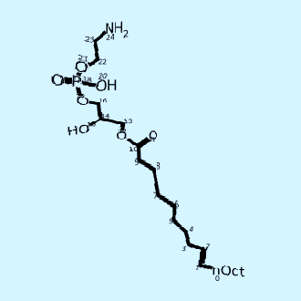 CCCCCCCC/C=C/CCCCCCCC(=O)OC[C@@H](O)COP(=O)(O)OCCN